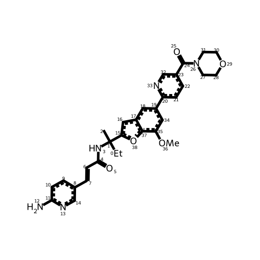 CCC(C)(NC(=O)C=Cc1ccc(N)nc1)c1cc2cc(-c3ccc(C(=O)N4CCOCC4)cn3)cc(OC)c2o1